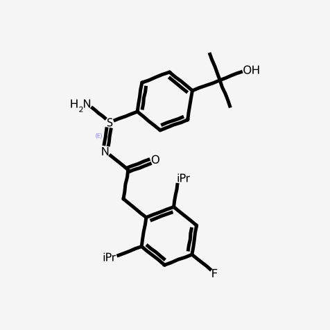 CC(C)c1cc(F)cc(C(C)C)c1CC(=O)/N=S(/N)c1ccc(C(C)(C)O)cc1